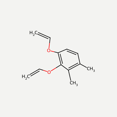 C=COc1ccc(C)c(C)c1OC=C